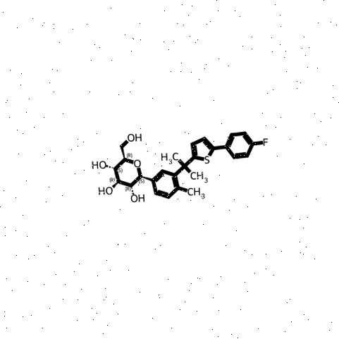 Cc1ccc([C@@H]2O[C@H](CO)[C@@H](O)[C@H](O)[C@H]2O)cc1C(C)(C)c1ccc(-c2ccc(F)cc2)s1